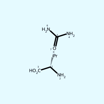 CC(C)[C@H](N)C(=O)O.NC(N)=O